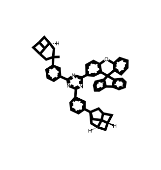 CC1(c2cccc(-c3nc(-c4cccc(C56CC7C[C@@H]8C[C@@H](C5)C78C6)c4)nc(-c4ccc5c(c4)C4(c6ccccc6O5)c5ccccc5-c5ccccc54)n3)c2)CC2CC3C[C@@H](C1)C32